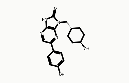 O=c1[nH]c2ncc(-c3ccc(O)cc3)nc2n1C[C@H]1CC[C@H](O)CC1